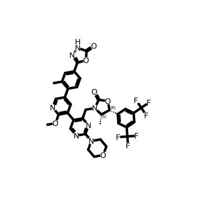 COc1ncc(-c2ccc(-c3n[nH]c(=O)o3)cc2C)cc1-c1cnc(N2CCOCC2)nc1CN1C(=O)O[C@H](c2cc(C(F)(F)F)cc(C(F)(F)F)c2)[C@@H]1C